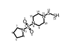 O=S(=O)(N1CCCC1)N1CCN(SS)CC1